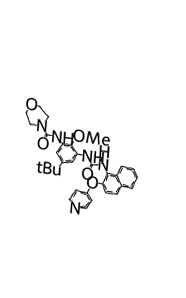 COc1c(NC(=O)Nc2c(Oc3ccncc3)ccc3ccccc23)cc(C(C)(C)C)cc1NC(=O)N1CCOCC1